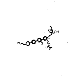 C=C(C)C(=O)OCCc1cc(-c2ccc(-c3ccc(C4CCC(CCCCC)CC4)cc3)cc2CC)ccc1OCCC(CO)(CO)CCCC